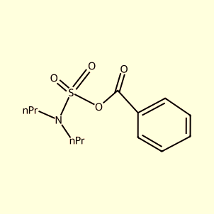 CCCN(CCC)S(=O)(=O)OC(=O)c1ccccc1